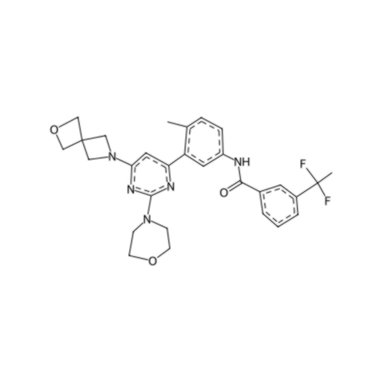 Cc1ccc(NC(=O)c2cccc(C(C)(F)F)c2)cc1-c1cc(N2CC3(COC3)C2)nc(N2CCOCC2)n1